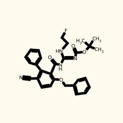 CC(C)(C)OC(=O)/N=C(\NCCF)NC(=O)c1c(OCc2ccccc2)ccc(C#N)c1-c1ccccc1